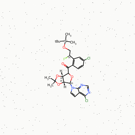 CC1(C)O[C@@H]2[C@H](O1)C(C(=O)c1ccc(Cl)cc1[C@@H](F)CO[Si](C)(C)C(C)(C)C)O[C@H]2n1ccc2c(Cl)ncnc21